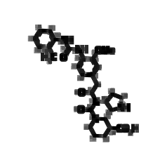 COc1cc(CC(=O)N(C(=O)N2CCCC(C(=O)O)C2)C2CCNC2)ccc1NC(=O)Nc1ccccc1C